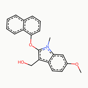 COc1ccc2c(CO)c(Oc3cccc4ccccc34)n(C)c2c1